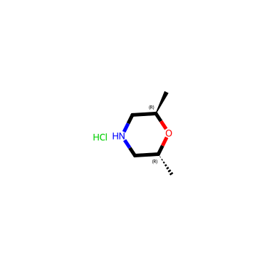 C[C@@H]1CNC[C@@H](C)O1.Cl